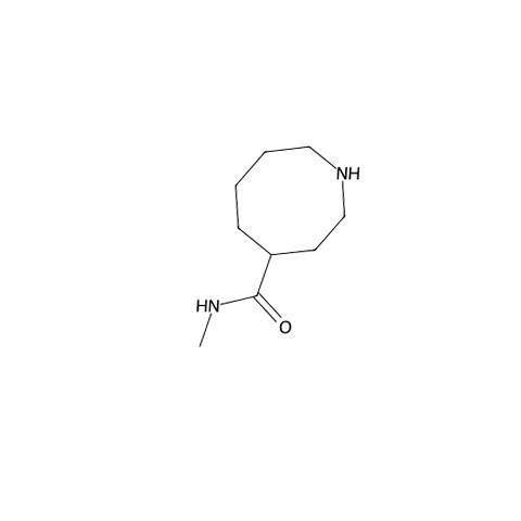 CNC(=O)C1CCCCNCC1